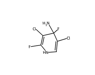 NC1(F)C(Cl)=CNC(F)=C1Cl